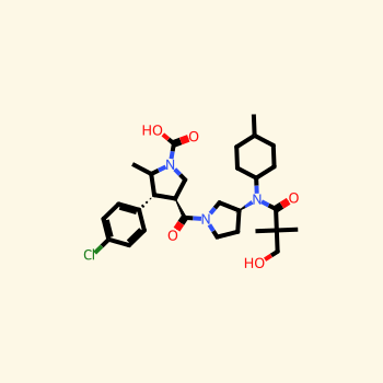 CC1CCC(N(C(=O)C(C)(C)CO)[C@H]2CCN(C(=O)[C@@H]3CN(C(=O)O)C(C)[C@H]3c3ccc(Cl)cc3)C2)CC1